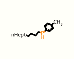 CCCCCCCCCCCPc1ccc(C)cc1